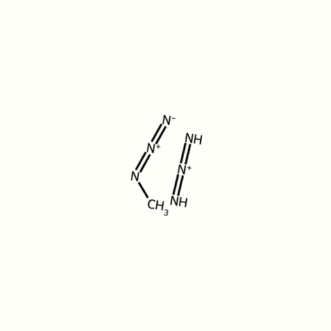 CN=[N+]=[N-].N=[N+]=N